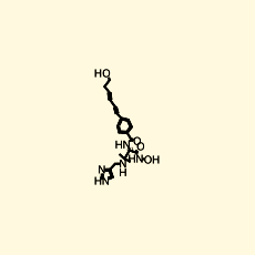 CC(C)(NCc1c[nH]cn1)[C@H](NC(=O)c1ccc(C#CC#CCCO)cc1)C(=O)NO